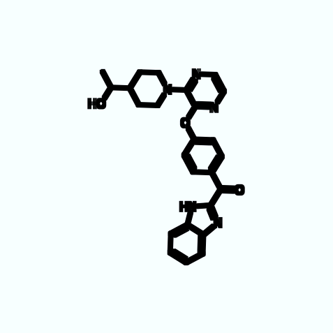 CC(O)C1CCN(c2nccnc2Oc2ccc(C(=O)c3nc4ccccc4[nH]3)cc2)CC1